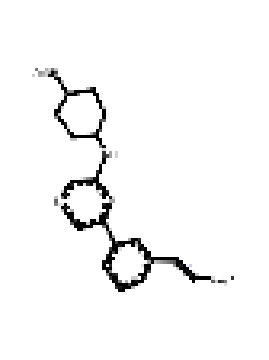 CC(=O)NC1CCC(Nc2cncc(-c3cccc(/C=C/C(=O)O)c3)n2)CC1